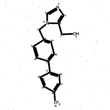 OCc1cncn1Cc1ccc(-c2ccc(C(F)(F)F)cc2)cc1